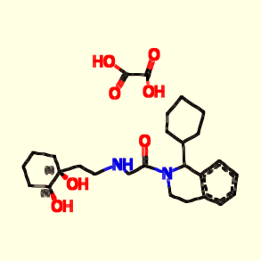 O=C(CNCC[C@@]1(O)CCCC[C@@H]1O)N1CCc2ccccc2C1C1CCCCC1.O=C(O)C(=O)O